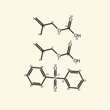 C=C(C)COC(=O)O.C=C(C)COC(=O)O.O=S(=O)(c1ccccc1)c1ccccc1